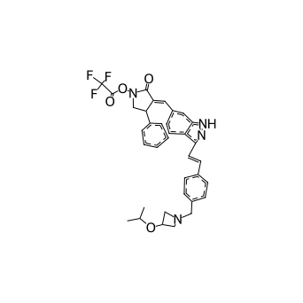 CC(C)OC1CN(Cc2ccc(/C=C/c3n[nH]c4cc(/C=C5/C(=O)N(OC(=O)C(F)(F)F)CC5c5ccccc5)ccc34)cc2)C1